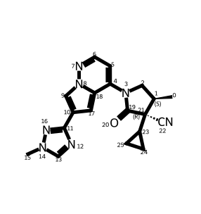 C[C@@H]1CN(c2ccnn3cc(-c4ncn(C)n4)cc23)C(=O)[C@]1(C#N)C1CC1